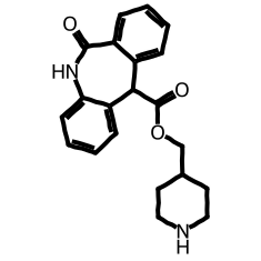 O=C1Nc2ccccc2C(C(=O)OCC2CCNCC2)c2ccccc21